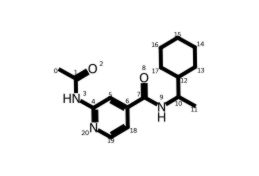 CC(=O)Nc1cc(C(=O)NC(C)C2CCCCC2)ccn1